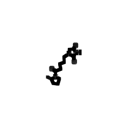 C[C@@H]1CCCN1C(=O)CCCCN1CC(=O)NC1=O